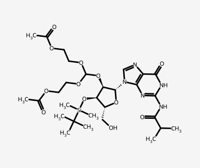 CC(=O)OCCOC(OCCOC(C)=O)O[C@@H]1[C@H](O[Si](C)(C)C(C)(C)C)[C@@H](CO)O[C@H]1n1cnc2c(=O)[nH]c(NC(=O)C(C)C)nc21